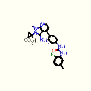 Cc1ccc(F)c(NC(=O)Nc2ccc(-c3ccnc4c3C(N)N(C3(C(=O)O)CC3)N4C)cc2)c1